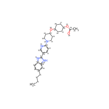 CCCCc1ccc2nc(-c3ccc(N4CCC(OC5CCC(OC(C)=O)CC5)CC4)nc3)[nH]c2c1